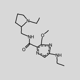 CCNc1cnc(C(=O)NCC2CCCN2CC)c(OC)n1